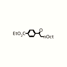 CCCCCCCCCC(=O)c1ccc(C(=O)OCC)cc1